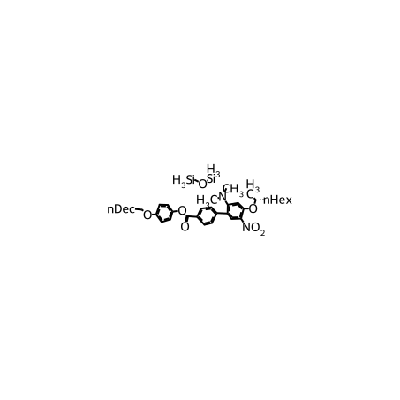 CCCCCCCCCCCOc1ccc(OC(=O)c2ccc(-c3cc([N+](=O)[O-])c(O[C@H](C)CCCCCC)cc3N(C)C)cc2)cc1.[SiH3]O[SiH3]